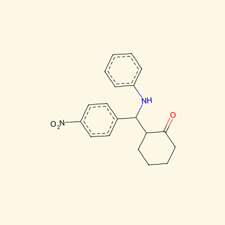 O=C1CCCCC1C(Nc1ccccc1)c1ccc([N+](=O)[O-])cc1